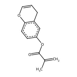 C=C(C)C(=O)Oc1ccc2c(c1)CC=CO2